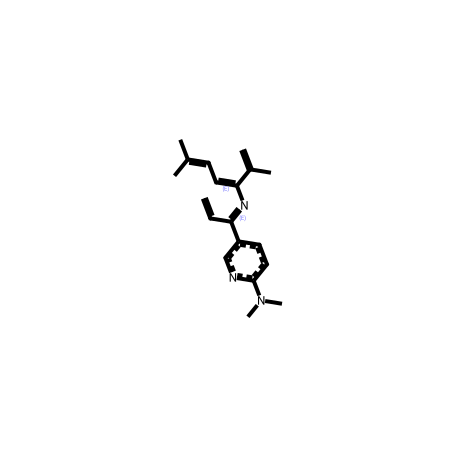 C=C/C(=N\C(=C\C=C(C)C)C(=C)C)c1ccc(N(C)C)nc1